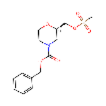 CS(=O)(=O)OC[C@H]1CN(C(=O)OCc2ccccc2)CCO1